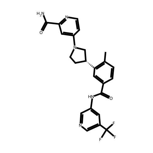 Cc1ccc(C(=O)Nc2cncc(C(F)(F)F)c2)cc1[C@@H]1CCN(c2ccnc(C(N)=O)c2)C1